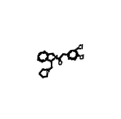 O=C(Cc1ccc(Cl)c(Cl)c1)N1Cc2ccccc2C1CN1CCCC1